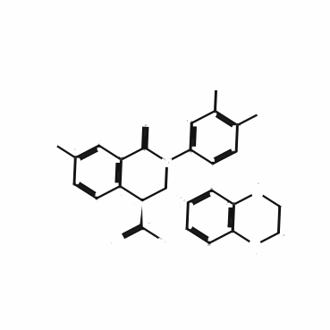 CC(C)(C)c1ccc(N2C(=O)c3cc(F)ccc3[C@H](C(N)=O)[C@H]2c2ccc3c(c2)OCCO3)cc1Cl